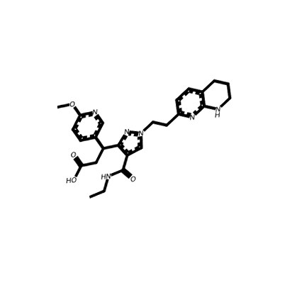 CCNC(=O)c1cn(CCc2ccc3c(n2)NCCC3)nc1C(CC(=O)O)c1ccc(OC)nc1